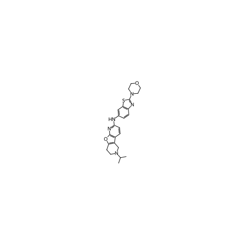 CC(C)N1CCc2oc3nc(Nc4ccc5nc(N6CCOCC6)sc5c4)ccc3c2C1